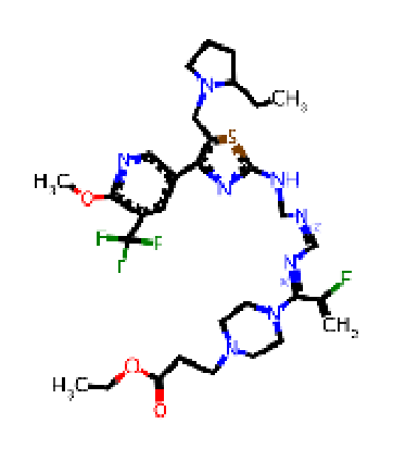 C=C(F)/C(=N\C=N/CNc1nc(-c2cnc(OC)c(C(F)(F)F)c2)c(CN2CCCC2CC)s1)N1CCN(CCC(=O)OCC)CC1